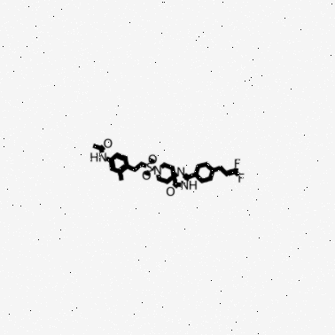 CC(=O)Nc1ccc(CCS(=O)(=O)N2CCC3(CC2)N=C(C2CCC(CC=C(F)F)CC2)NC3=O)c(C)c1